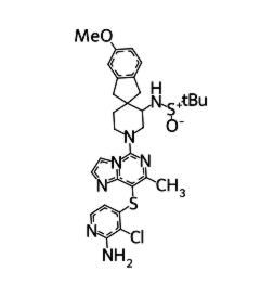 COc1ccc2c(c1)CC1(CCN(c3nc(C)c(Sc4ccnc(N)c4Cl)c4nccn34)CC1N[S+]([O-])C(C)(C)C)C2